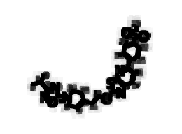 CC(C)c1noc(N2CC=C(CCOc3nc4ccc(-c5ccc(S(C)(=O)=O)cc5)nc4s3)CC2)n1